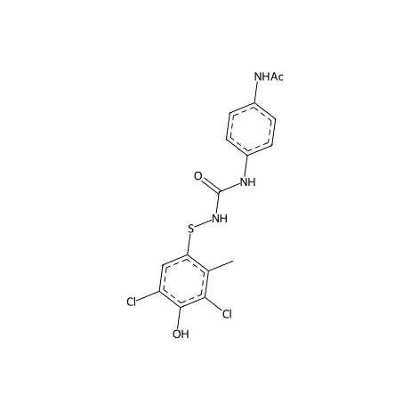 CC(=O)Nc1ccc(NC(=O)NSc2cc(Cl)c(O)c(Cl)c2C)cc1